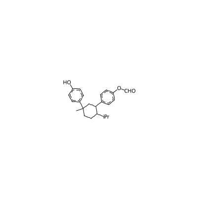 CC(C)C1CCC(C)(c2ccc(O)cc2)CC1c1ccc(OC=O)cc1